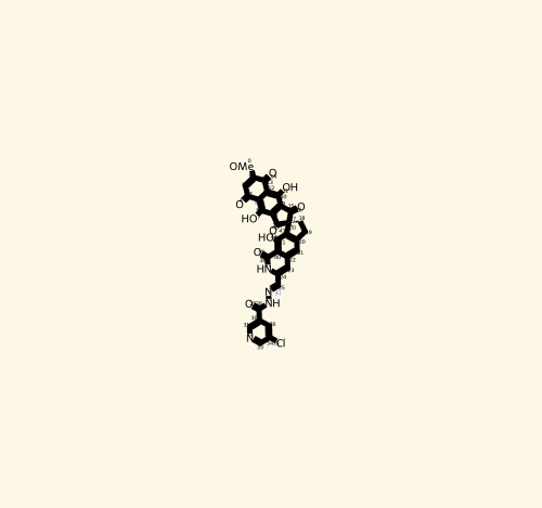 COC1=CC(=O)c2c(O)c3c(c(O)c2C1=O)C(=O)[C@]1(CCc2cc4cc(/C=N/NC(=O)c5cncc(Cl)c5)[nH]c(=O)c4c(O)c21)C3=O